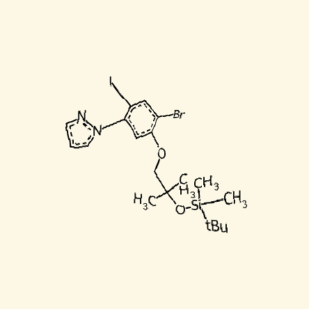 CC(C)(COc1cc(-n2cccn2)c(I)cc1Br)O[Si](C)(C)C(C)(C)C